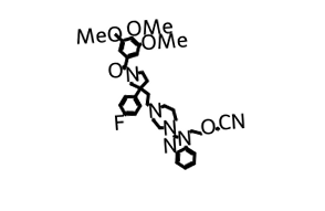 COc1cc(C(=O)N2CCC(CCN3CCCN(c4nc5ccccc5n4CCOCC#N)CC3)(c3ccc(F)cc3)C2)cc(OC)c1OC